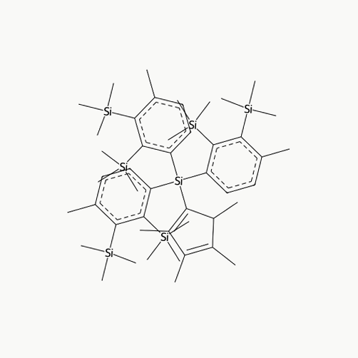 CC1=C(C)C(C)C([Si](c2ccc(C)c([Si](C)(C)C)c2[Si](C)(C)C)(c2ccc(C)c([Si](C)(C)C)c2[Si](C)(C)C)c2ccc(C)c([Si](C)(C)C)c2[Si](C)(C)C)=C1C